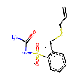 C=CCSCc1ccccc1S(=O)(=O)NC(N)=O